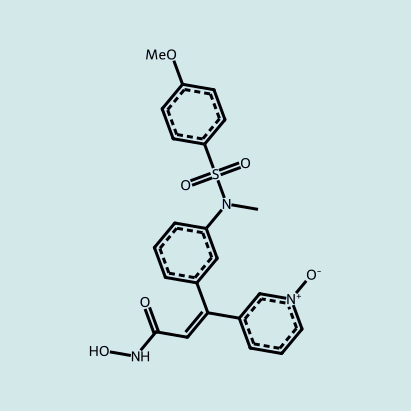 COc1ccc(S(=O)(=O)N(C)c2cccc(/C(=C\C(=O)NO)c3ccc[n+]([O-])c3)c2)cc1